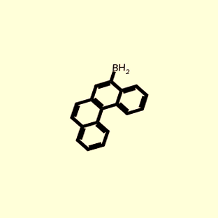 Bc1cc2ccc3ccccc3c2c2ccccc12